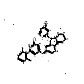 Cc1cccc(C)c1-c1cc(Oc2ccc3c4ccccc4n(-c4cc(Br)ccn4)c3c2)cc(Cl)n1